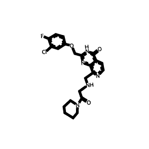 O=C(CNCc1nccc2c(=O)[nH]c(COc3ccc(F)c(Cl)c3)nc12)N1CCCCC1